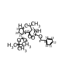 CC(C)[C@H](NC(=O)OCc1ccccc1)C(=O)N1CCC[C@H]1C(=O)OC(C)(C)C